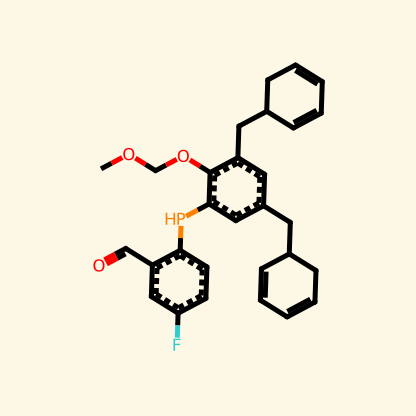 COCOc1c(CC2C=CC=CC2)cc(CC2C=CC=CC2)cc1Pc1ccc(F)cc1C=O